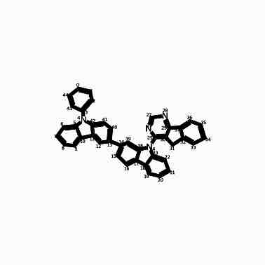 c1ccc(-n2c3ccccc3c3cc(-c4ccc5c6ccccc6n(-c6ncnc7c6Cc6ccccc6-7)c5c4)ccc32)cc1